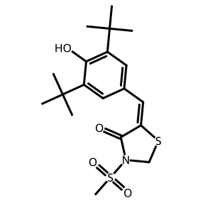 CC(C)(C)c1cc(C=C2SCN(S(C)(=O)=O)C2=O)cc(C(C)(C)C)c1O